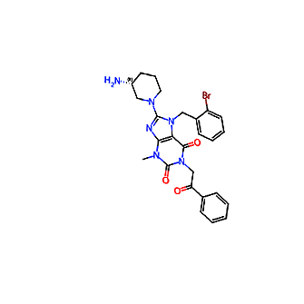 Cn1c(=O)n(CC(=O)c2ccccc2)c(=O)c2c1nc(N1CCC[C@@H](N)C1)n2Cc1ccccc1Br